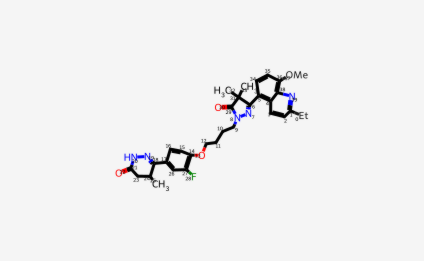 CCc1ccc2c(C3=NN(CCCCOc4ccc(C5=NNC(=O)CC5C)cc4F)C(=O)C3(C)C)ccc(OC)c2n1